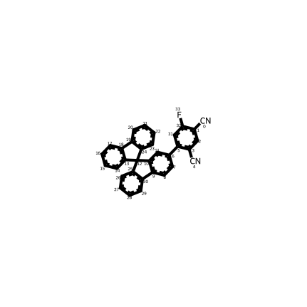 N#Cc1cc(C#N)c(-c2ccc3c(c2)C2(c4ccccc4-c4ccccc42)c2ccccc2-3)cc1F